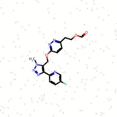 Cn1nnc(-c2ccc(F)cn2)c1COc1ccc(CCOC=O)nn1